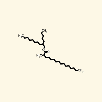 CCCCCCCCCCCCCCC(C)C(=O)OCC(CCCCC)CCCCCCCC